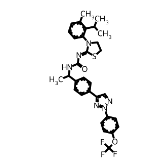 Cc1cccc(N2CCS/C2=N\C(=O)NC(C)c2ccc(-c3cnn(-c4ccc(OC(F)(F)F)cc4)n3)cc2)c1C(C)C